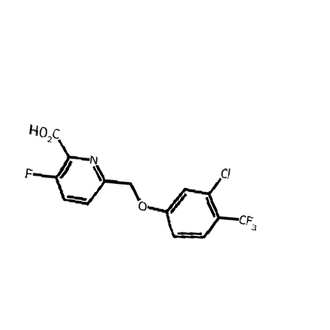 O=C(O)c1nc(COc2ccc(C(F)(F)F)c(Cl)c2)ccc1F